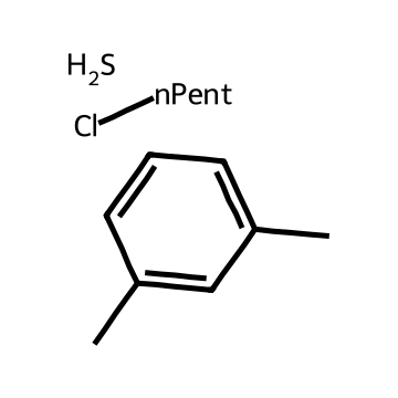 CCCCCCl.Cc1cccc(C)c1.S